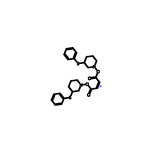 O=C(/C=C\C(=O)ON1CCCC(Sc2ccccc2)C1)ON1CCCC(Sc2ccccc2)C1